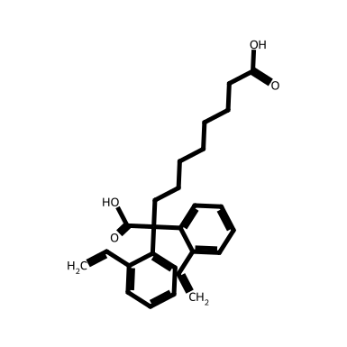 C=Cc1ccccc1C(CCCCCCCC(=O)O)(C(=O)O)c1ccccc1C=C